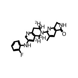 [2H]C1([2H])Cc2ncc(Nc3ccccc3F)cc2C([2H])([2H])N1c1nc2c(cc1C)C(=O)NC2